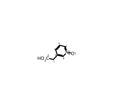 O=C(O)Cc1ccc[n+]([O-])c1